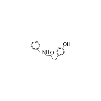 Oc1ccc2c(c1)OC(CNCc1ccccc1)CC2